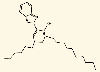 CCCCCCCCCCc1cc(CCCCCC)cc(-n2nc3ccccc3n2)c1O